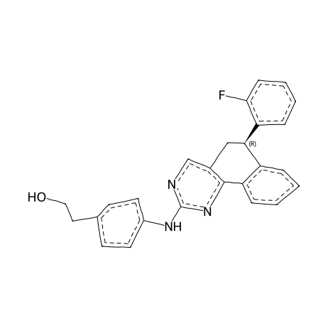 OCCc1ccc(Nc2ncc3c(n2)-c2ccccc2[C@H](c2ccccc2F)C3)cc1